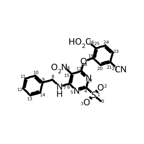 CS(=O)(=O)c1nc(NCc2ccccc2)c([N+](=O)[O-])c(Oc2cc(C#N)ccc2C(=O)O)n1